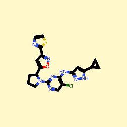 Clc1cnc(N2CCCC2c2cc(-c3nccs3)no2)nc1Nc1cc(C2CC2)[nH]n1